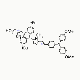 COc1ccc(N(c2ccc(/C=C/c3ccc(-c4c5ccc(C(C)(C)C)cc5c(/C=C(\C#N)C(=O)O)c5ccc(C(C)(C)C)cc45)n3C)cc2)c2ccc(OC)cc2)cc1